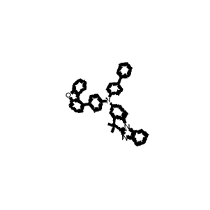 CC1(C)c2cc(N(c3ccc(-c4ccccc4)cc3)c3ccc(-c4cccc5oc6ccccc6c45)cc3)ccc2-n2c1nc1ccccc12